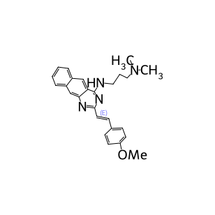 COc1ccc(/C=C/c2nc(NCCCN(C)C)c3cc4ccccc4cc3n2)cc1